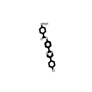 CCCCCCCC1CCC(C(=O)Oc2ccc(-c3ncc(C4CCC(CC)CC4)cn3)cc2)CC1